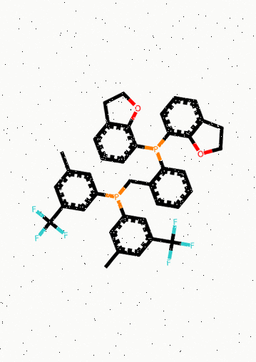 Cc1cc(P(Cc2ccccc2P(c2cccc3c2OCC3)c2cccc3c2OCC3)c2cc(C)cc(C(F)(F)F)c2)cc(C(F)(F)F)c1